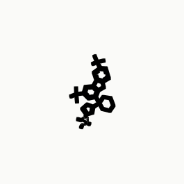 CC(C)(C)c1ccc2c(c1)-c1cc(C(C)(C)C)cc(C3(C4=CC([Si](C)(C)C)=CC4)CCCCC3)c1C2